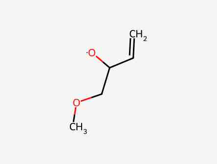 C=CC([O])COC